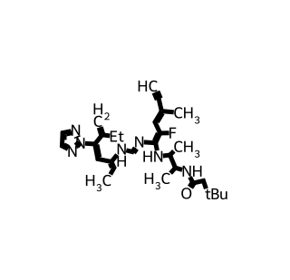 C#C/C(C)=C/C(F)=C(\N=C\NC(=C/C)/C=C(\C(=C)CC)n1nccn1)NC(C)C(C)NC(=O)CC(C)(C)C